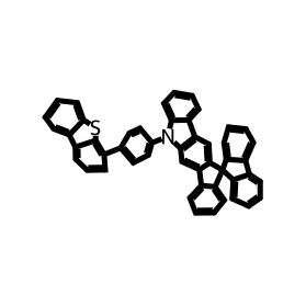 c1ccc2c(c1)-c1ccccc1C21c2ccccc2-c2cc3c(cc21)c1ccccc1n3-c1ccc(-c2cccc3c2sc2ccccc23)cc1